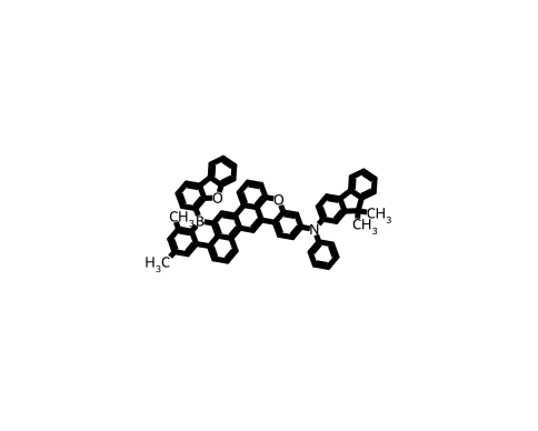 Cc1cc(C)c2c(c1)-c1cccc3c1c(cc1c4cccc5c4c(cc31)-c1ccc(N(c3ccccc3)c3ccc4c(c3)C(C)(C)c3ccccc3-4)cc1O5)B2c1cccc2c1oc1ccccc12